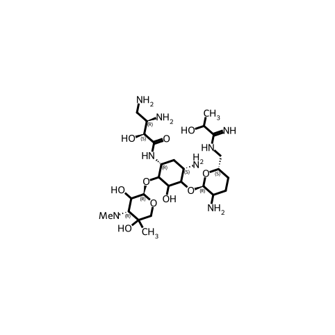 CN[C@@H]1C(O)[C@@H](OC2C(O)C(O[C@H]3O[C@H](CNC(=N)C(C)O)CCC3N)[C@@H](N)C[C@H]2NC(=O)[C@@H](O)[C@H](N)CN)OCC1(C)O